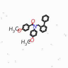 COc1ccc(C(=O)N(Cc2ccccc2-c2ccccc2)c2ccc(OC)cc2)cc1